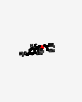 C=CC1CCC(C(C)(C)COC[C@@H](C)CC(C)(C)C)C(C(C)(C)C)C1